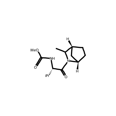 COC(=O)N[C@H](C(=O)N1C(C)[C@@H]2CC[C@H]1C2)C(C)C